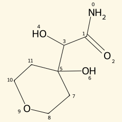 NC(=O)C(O)C1(O)CCOCC1